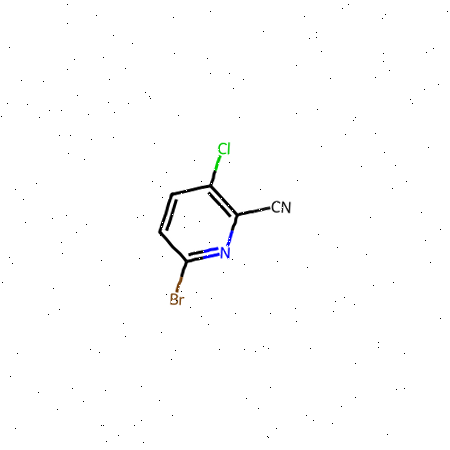 N#Cc1nc(Br)ccc1Cl